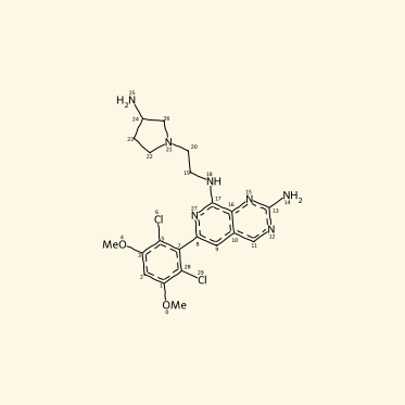 COc1cc(OC)c(Cl)c(-c2cc3cnc(N)nc3c(NCCN3CCC(N)C3)n2)c1Cl